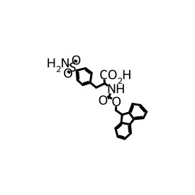 NS(=O)(=O)c1ccc(CC(NC(=O)OCC2c3ccccc3-c3ccccc32)C(=O)O)cc1